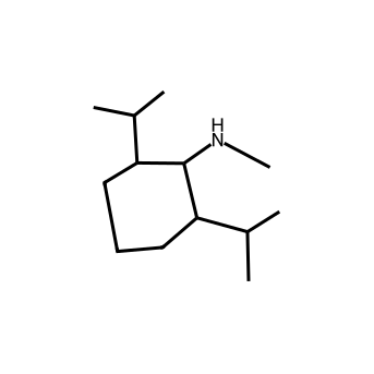 CNC1C(C(C)C)CCCC1C(C)C